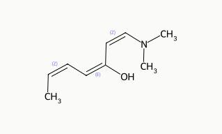 C\C=C/C=C(O)\C=C/N(C)C